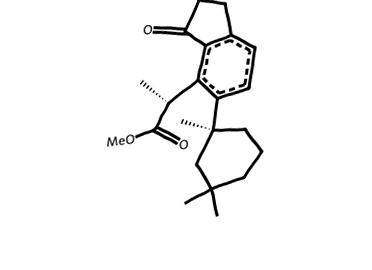 COC(=O)[C@H](C)c1c([C@@]2(C)CCCC(C)(C)C2)ccc2c1C(=O)CC2